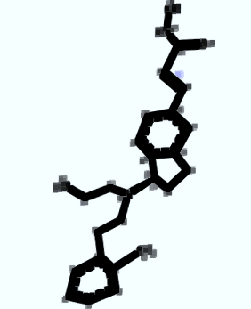 Cc1ccccc1CCN(CCO)[C@@H]1CCc2cc(/C=C/C(=O)NO)ccc21